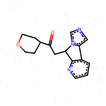 O=C(CC1c2ncccc2-c2cncn21)C1CCOCC1